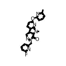 Cc1cccc(Oc2ccc3c4cnn(Cc5cccc(F)n5)c(=O)c4n(C)c3n2)n1